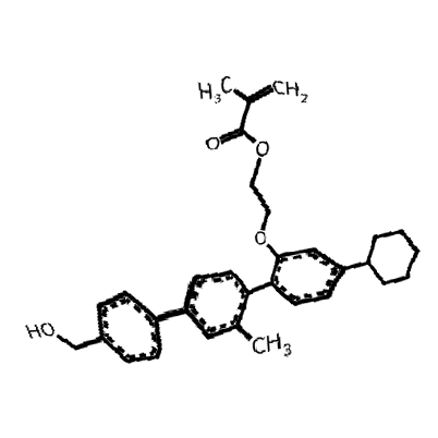 C=C(C)C(=O)OCCOc1cc(C2CCCCC2)ccc1-c1ccc(-c2ccc(CO)cc2)cc1C